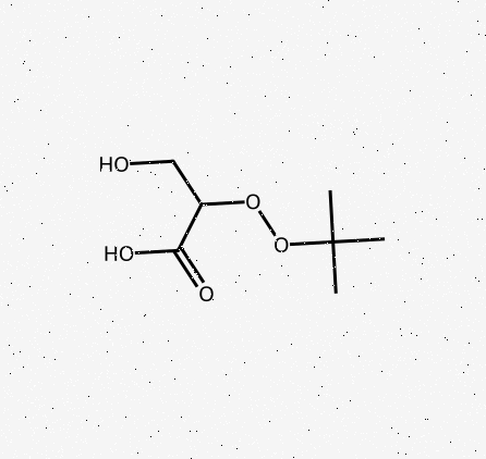 CC(C)(C)OOC(CO)C(=O)O